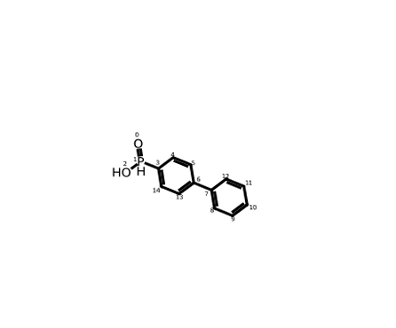 O=[PH](O)c1ccc(-c2ccccc2)cc1